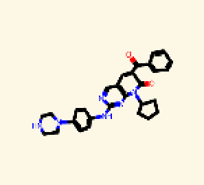 O=C(c1ccccc1)c1cc2cnc(Nc3ccc(N4CCNCC4)cc3)nc2n(C2CCCC2)c1=O